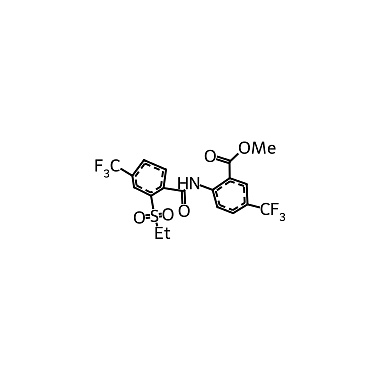 CCS(=O)(=O)c1cc(C(F)(F)F)ccc1C(=O)Nc1ccc(C(F)(F)F)cc1C(=O)OC